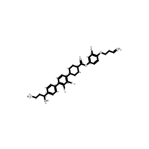 C=CCCOc1ccc(OC(=O)C2CCC(c3ccc(-c4ccc(C(O)CCC)cc4)c(F)c3F)CC2)cc1F